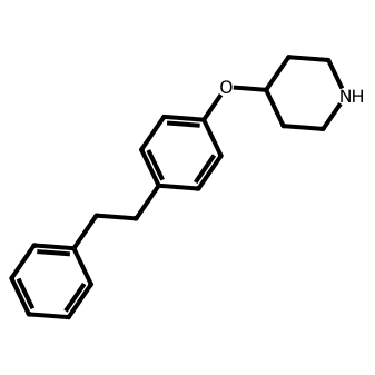 c1ccc(CCc2ccc(OC3CCNCC3)cc2)cc1